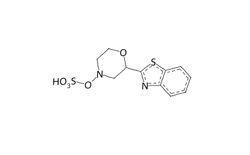 O=S(=O)(O)ON1CCOC(c2nc3ccccc3s2)C1